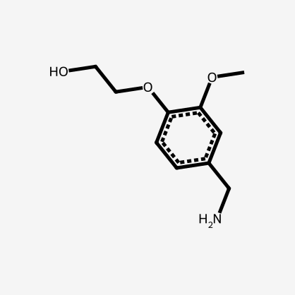 COc1cc(CN)ccc1OCCO